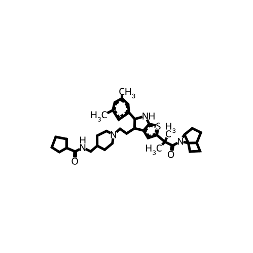 Cc1cc(C)cc(C2Nc3sc(C(C)(C)C(=O)N4C5CCC6CCC654)cc3C2CCN2CCC(CNC(=O)C3CCCC3)CC2)c1